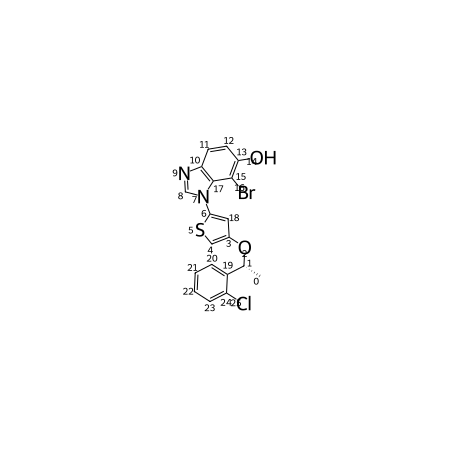 C[C@@H](Oc1csc(-n2cnc3ccc(O)c(Br)c32)c1)c1ccccc1Cl